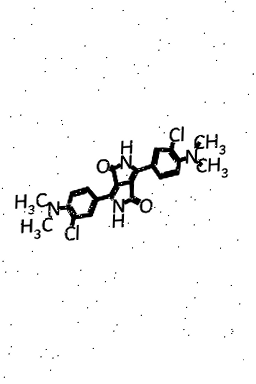 CN(C)c1ccc(C2=C3C(=O)NC(c4ccc(N(C)C)c(Cl)c4)=C3C(=O)N2)cc1Cl